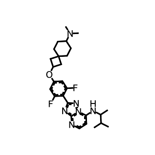 CC(C)C(C)Nc1ccnc2nc(-c3c(F)cc(OC4CC5(CCC(N(C)C)CC5)C4)cc3F)nn12